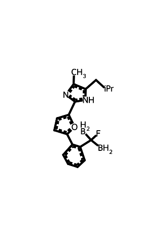 BC(B)(F)c1ccccc1-c1ccc(-c2nc(C)c(CC(C)C)[nH]2)o1